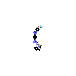 CCc1ccc(C)cc1N1/C(=N/C(=S)N/N=C/c2ccc(-c3ncn(-c4ccc(OC(F)(F)F)cc4)n3)cc2)SCC1C